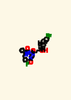 C[C@]12CCC(F)(F)CC1CC[C@H]1C3CC[C@@](O)(CCCC(=O)N4CCN(C(=O)c5cc(Cc6n[nH]c(=O)c7ccccc67)ccc5F)CC4)[C@H]3CCC12